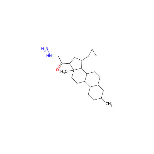 CC1CCC2C(CCC3C2CCC2(C)C(C(=O)CNN)CC(C4CC4)C32)C1